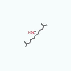 CC(C)CCC[SiH](O)CCCC(C)C